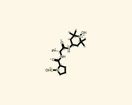 CC(C)[C@@H](NC(=O)C1CCCN1C=O)C(=O)NC1CC(C)(C)N(O)C(C)(C)C1